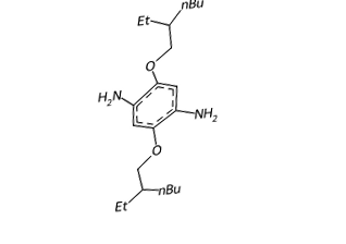 CCCCC(CC)COc1cc(N)c(OCC(CC)CCCC)cc1N